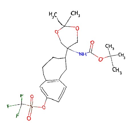 CC(C)(C)OC(=O)NC1(C2CCc3cc(OS(=O)(=O)C(F)(F)F)ccc3C2)COC(C)(C)OC1